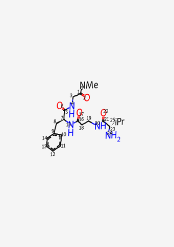 CNC(=O)CNC(=O)[C@H](Cc1ccccc1)NC(=O)CCNC(=O)[C@@H](N)C(C)C